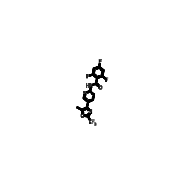 Cc1oc(C(F)(F)F)nc1-c1ccc(NC(=O)c2c(F)cc(F)cc2F)nc1